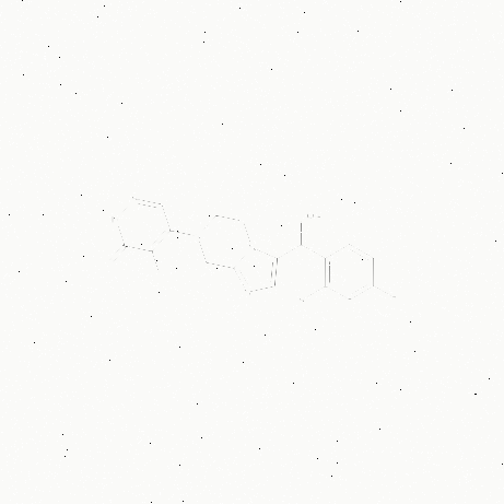 COC(c1ccc(F)cc1[N+](=O)[O-])c1cnc2n1CCN(c1cn[nH]c(=O)c1Cl)C2